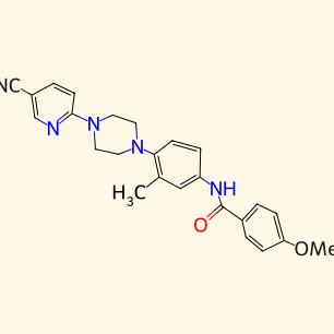 COc1ccc(C(=O)Nc2ccc(N3CCN(c4ccc(C#N)cn4)CC3)c(C)c2)cc1